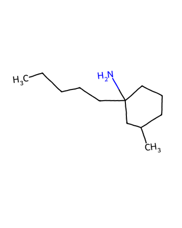 CCCCCC1(N)CCCC(C)C1